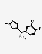 Cn1cc(C(N)c2ccc(F)c(Cl)c2)cn1